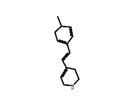 CC1C=CC(C=CC2=CCNCC2)=CC1